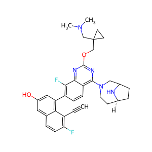 C#Cc1c(F)ccc2cc(O)cc(-c3ccc4c(N5CC[C@@H]6CCC(C5)N6)nc(OCC5(CN(C)C)CC5)nc4c3F)c12